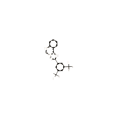 FC(F)(F)c1cc(-c2nc3c4ccccc4ncn3n2)cc(C(F)(F)F)c1